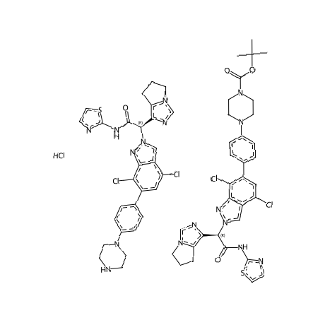 CC(C)(C)OC(=O)N1CCN(c2ccc(-c3cc(Cl)c4cn([C@@H](C(=O)Nc5nccs5)c5ncn6c5CCC6)nc4c3Cl)cc2)CC1.Cl.O=C(Nc1nccs1)[C@@H](c1ncn2c1CCC2)n1cc2c(Cl)cc(-c3ccc(N4CCNCC4)cc3)c(Cl)c2n1